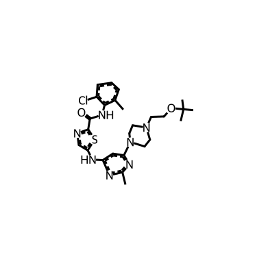 Cc1nc(Nc2cnc(C(=O)Nc3c(C)cccc3Cl)s2)cc(N2CCN(CCOC(C)(C)C)CC2)n1